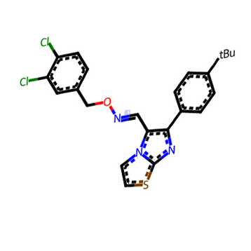 CC(C)(C)c1ccc(-c2nc3sccn3c2/C=N/OCc2ccc(Cl)c(Cl)c2)cc1